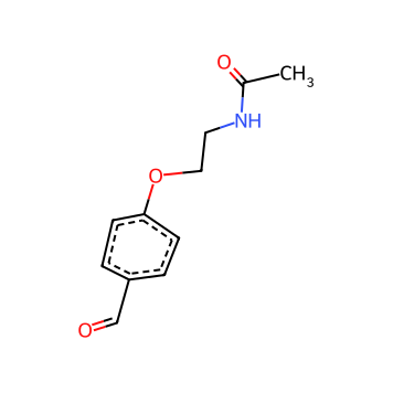 CC(=O)NCCOc1ccc(C=O)cc1